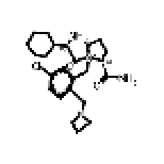 NC(=O)[C@@H]1CCC[N+]1(Cc1cc(Cl)ccc1CN1CCC1)C(=O)[C@H](N)C1CCCCC1